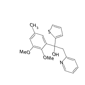 COc1cc(C)cc(C(O)(Cc2ccccn2)c2cccs2)c1OC